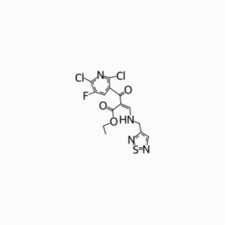 CCOC(=O)C(=CNCc1cnsn1)C(=O)c1cc(F)c(Cl)nc1Cl